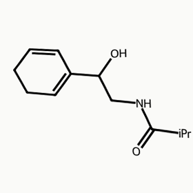 CC(C)C(=O)NCC(O)C1=CCCC=C1